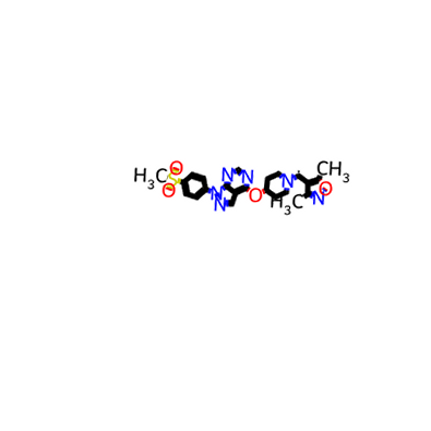 Cc1noc(C)c1[CH]N1CCC(Oc2ncnc3c2cnn3-c2ccc(S(C)(=O)=O)cc2)CC1